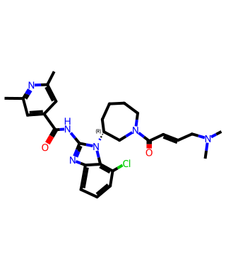 Cc1cc(C(=O)Nc2nc3cccc(Cl)c3n2[C@@H]2CCCCN(C(=O)C=CCN(C)C)C2)cc(C)n1